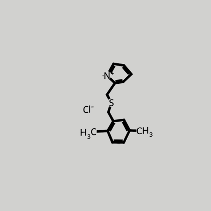 Cc1ccc(C)c(CSCC2=CC=CC=[N+]2)c1.[Cl-]